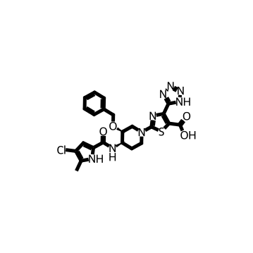 Cc1[nH]c(C(=O)N[C@@H]2CCN(c3nc(-c4nnn[nH]4)c(C(=O)O)s3)C[C@@H]2OCc2ccccc2)cc1Cl